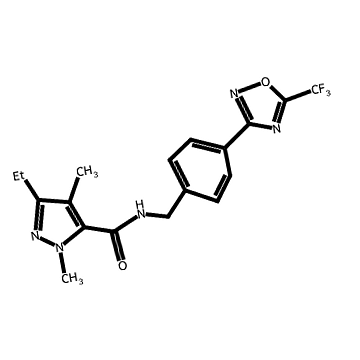 CCc1nn(C)c(C(=O)NCc2ccc(-c3noc(C(F)(F)F)n3)cc2)c1C